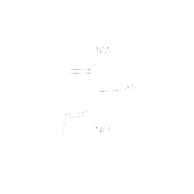 CNC(=S)C(OC)c1ccc[nH]1